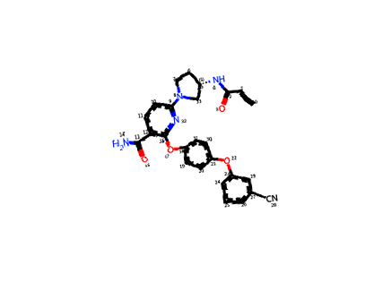 C=CC(=O)N[C@H]1CCN(c2ccc(C(N)=O)c(Oc3ccc(Oc4cccc(C#N)c4)cc3)n2)C1